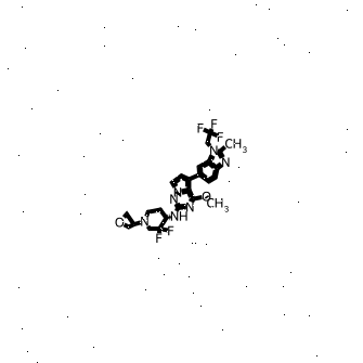 COc1nc(N[C@@H]2CCN(C3COC3)CC2(F)F)nn2ccc(-c3ccc4nc(C)n(CC(F)(F)F)c4c3)c12